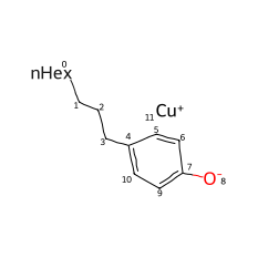 CCCCCCCCCc1ccc([O-])cc1.[Cu+]